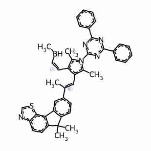 CB/C=C\c1c(/C=C(\C)c2ccc3c(c2)-c2c(ccc4ncsc24)C3(C)C)c(C)n(-c2nc(-c3ccccc3)nc(-c3ccccc3)n2)c1C